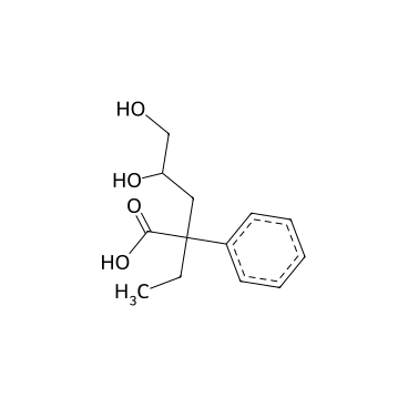 CCC(CC(O)CO)(C(=O)O)c1ccccc1